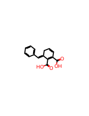 O=C(O)C1=C(C(=O)O)C(=Cc2ccccc2)CC=C1